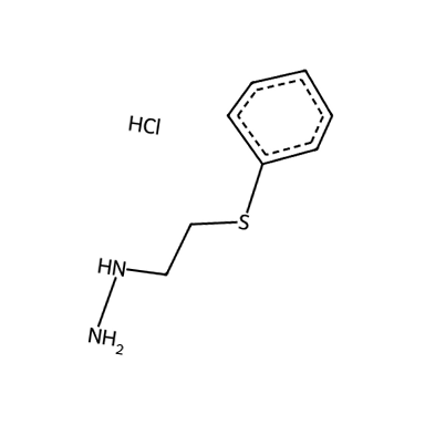 Cl.NNCCSc1ccccc1